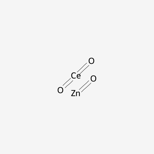 [O]=[Ce]=[O].[O]=[Zn]